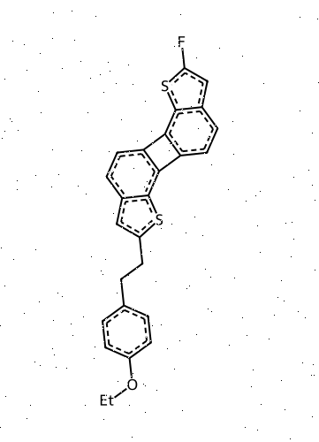 CCOc1ccc(CCc2cc3ccc4c(c3s2)-c2ccc3cc(F)sc3c2-4)cc1